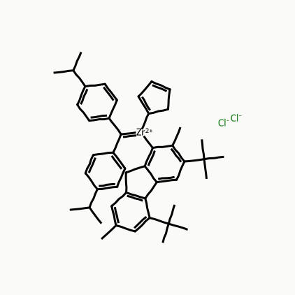 Cc1cc2c(c(C(C)(C)C)c1)-c1cc(C(C)(C)C)c(C)[c]([Zr+2]([C]3=CC=CC3)=[C](c3ccc(C(C)C)cc3)c3ccc(C(C)C)cc3)c1C2.[Cl-].[Cl-]